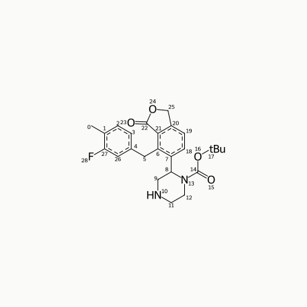 Cc1ccc(Cc2c(C3CNCCN3C(=O)OC(C)(C)C)ccc3c2C(=O)OC3)cc1F